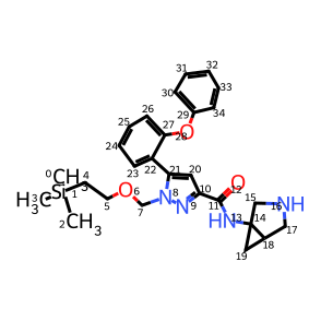 C[Si](C)(C)CCOCn1nc(C(=O)NC23CNCC2C3)cc1-c1ccccc1Oc1ccccc1